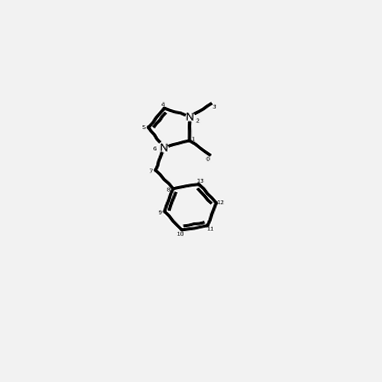 CC1N(C)C=CN1Cc1ccccc1